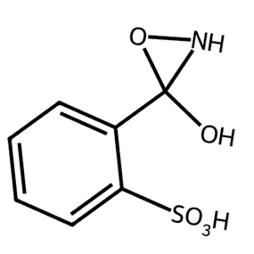 O=S(=O)(O)c1ccccc1C1(O)NO1